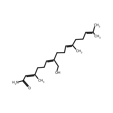 CC(C)=CCC/C(C)=C/CC/C(=C/CC/C(C)=C/C(N)=O)CO